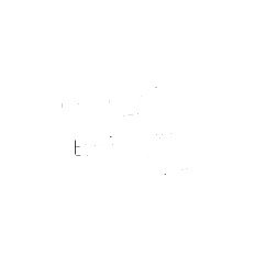 CCO[SiH](OCC)C(c1ccccc1)C(C)C